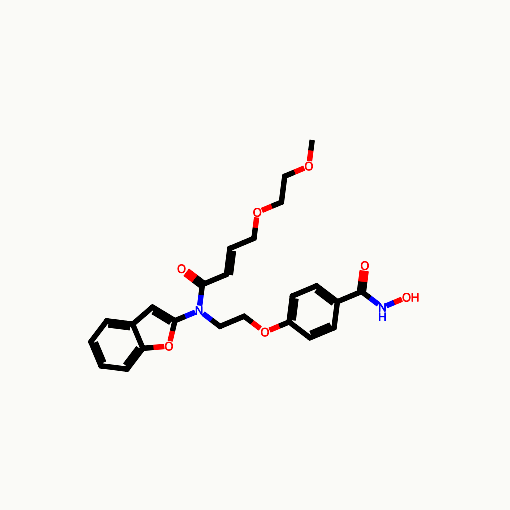 COCCOCC=CC(=O)N(CCOc1ccc(C(=O)NO)cc1)c1cc2ccccc2o1